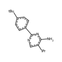 CC(C)c1cnc(-c2ccc(C(C)(C)C)cc2)nc1N